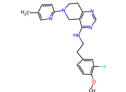 COc1ccc(CCNc2ncnc3c2CN(c2ccc(C)cn2)CC3)cc1F